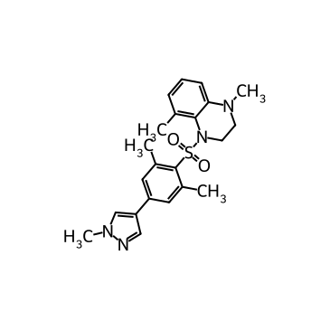 Cc1cccc2c1N(S(=O)(=O)c1c(C)cc(-c3cnn(C)c3)cc1C)CCN2C